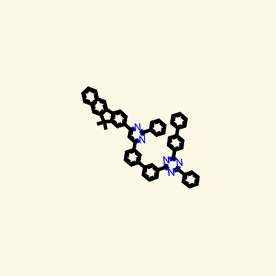 CC1(C)c2cc(-c3cc(-c4cccc(-c5cccc(-c6nc(-c7ccccc7)nc(-c7ccc(-c8ccccc8)cc7)n6)c5)c4)nc(-c4ccccc4)n3)ccc2-c2cc3ccccc3cc21